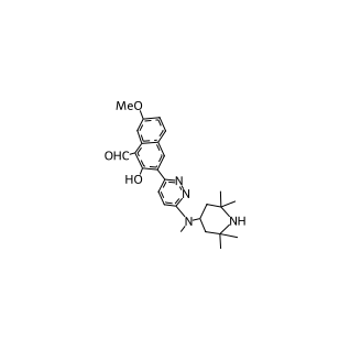 COc1ccc2cc(-c3ccc(N(C)C4CC(C)(C)NC(C)(C)C4)nn3)c(O)c(C=O)c2c1